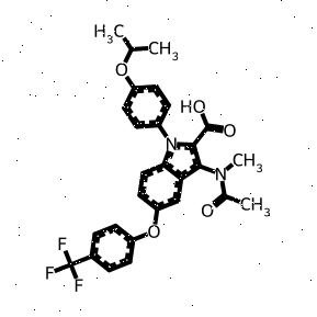 CC(=O)N(C)c1c(C(=O)O)n(-c2ccc(OC(C)C)cc2)c2ccc(Oc3ccc(C(F)(F)F)cc3)cc12